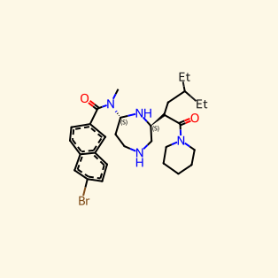 CCC(CC)CC(C(=O)N1CCCCC1)[C@H]1CNCC[C@H](N(C)C(=O)c2ccc3cc(Br)ccc3c2)N1